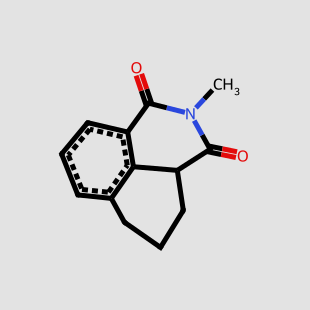 CN1C(=O)c2cccc3c2C(CCC3)C1=O